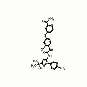 Cc1ccc(-n2nc(C(C)(C)C)cc2NC(=O)Nc2ccc(Oc3ccnc(C(N)=O)c3)cc2Cl)cn1